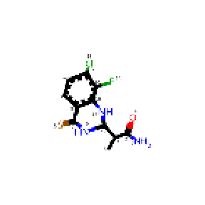 CC(C(N)=O)C1NC(=S)c2ccc(Cl)c(F)c2N1